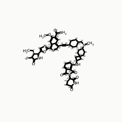 CC[C@@H]1C(F)C(=O)NC1c1cnc(-c2ncc(C#CC3CCC(CN(C)C4CCC5(CC4)CC(Nc4cccc6c4C(=O)N(C4CCC(=O)NC4=O)C6=O)C5)CC3)c3cc(C(N)=O)c(OC)cc23)o1